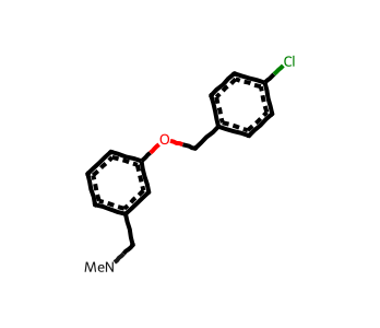 CNCc1cccc(OCc2ccc(Cl)cc2)c1